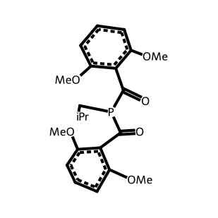 COc1cccc(OC)c1C(=O)P(CC(C)C)C(=O)c1c(OC)cccc1OC